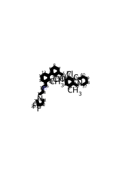 Cc1cc(OCc2cccc(-c3cccc(/C=C/CCN4CCC(F)(F)C4)c3C)c2C)c(Cl)cc1CN1CCCC[C@H]1C